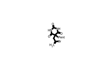 C=C(Br)CC1(C(C)CCC)C(=O)NC(=O)NC1=O